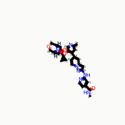 CNC(=O)c1ccnc(Nc2cc3cc(-c4cc(C)ncc4O[C@H]4C[C@H]5COC[C@@H](C4)N5C(=O)C4CC4)ccn3n2)c1